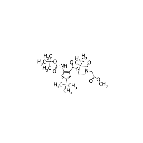 COC(=O)CN1CCN(C(=O)c2cc(C(C)(C)C)sc2NC(=O)OC(C)(C)C)C(C)(C)C1=O